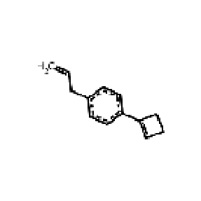 C=CCc1ccc(C2=CCC2)cc1